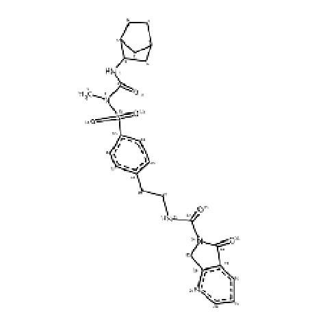 CN(C(=O)NC1CC2CCC1C2)S(=O)(=O)c1ccc(CCNC(=O)N2Cc3ncccc3C2=O)cc1